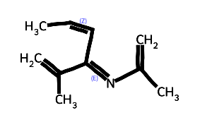 C=C(C)/N=C(\C=C/C)C(=C)C